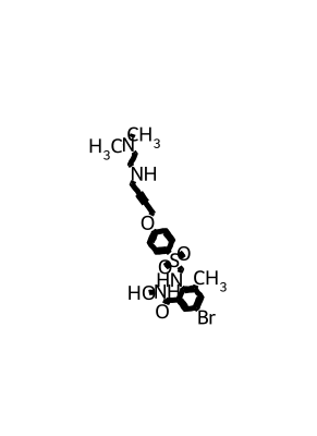 Cc1cc(Br)cc(C(=O)NO)c1NCS(=O)(=O)c1ccc(OCC#CCNCCN(C)C)cc1